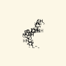 Cc1ccc(NC(=O)c2cnn(C)c2NC(=O)c2ccc(C(=N)N3CCN(C)CC3)cc2)cc1